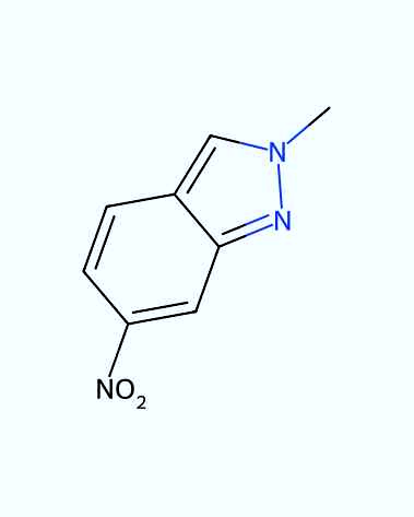 Cn1cc2ccc([N+](=O)[O-])cc2n1